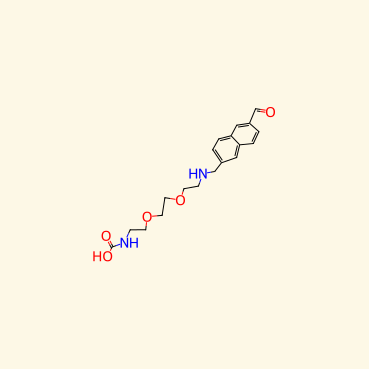 O=Cc1ccc2cc(CNCCOCCOCCNC(=O)O)ccc2c1